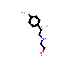 CCOC(=O)c1ccc(CCNCCO)cc1.Cl